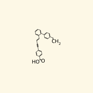 C=Cc1ccc(-c2ccccc2/C=C/C#Cc2ccc(C(=O)O)cc2)cc1